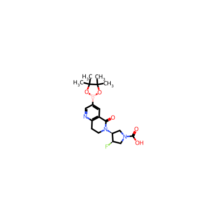 CC1(C)OB(c2cnc3c(c2)C(=O)N([C@H]2CN(C(=O)O)C[C@H]2F)CC3)OC1(C)C